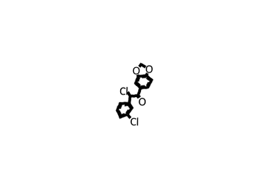 O=C(c1ccc2c(c1)OCO2)C(Cl)c1cccc(Cl)c1